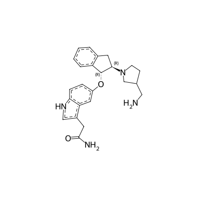 NCC1CCN([C@@H]2Cc3ccccc3[C@H]2Oc2ccc3[nH]cc(CC(N)=O)c3c2)C1